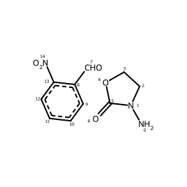 NN1CCOC1=O.O=Cc1ccccc1[N+](=O)[O-]